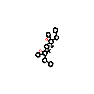 C[Si]1(C)c2cc(-c3cccc(-c4ccccc4)c3)c3c(oc4ccccc43)c2-c2ccc3c(c21)[Si](C)(C)c1cc(-c2cccc(-c4ccccc4)c2)c2c(oc4ccccc42)c1-3